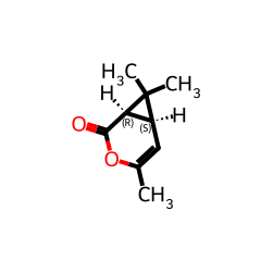 CC1=C[C@H]2[C@@H](C(=O)O1)C2(C)C